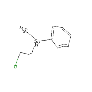 [CH3][SnH]([CH2]CCl)[c]1ccccc1